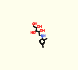 Cc1ccc(NCC(O)C(O)C(O)CO)c(C)c1